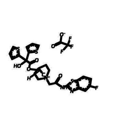 O=C(C[N+]12CCC(CC1)[C@@H](OC(=O)C(O)(c1cccs1)c1cccs1)C2)Nc1nc2cc(F)ccc2s1.O=C([O-])C(F)(F)F